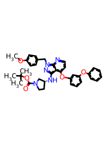 COc1ccc(Cn2nc(N[C@@H]3CCN(C(=O)OC(C)(C)C)C3)c3c(Oc4cccc(Oc5ccccc5)c4)ccnc32)cc1